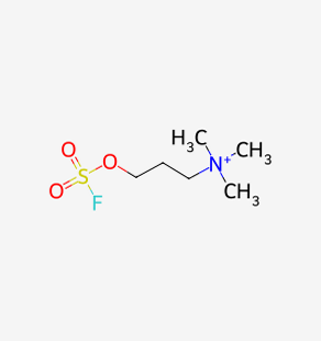 C[N+](C)(C)CCCOS(=O)(=O)F